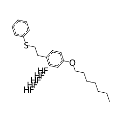 CCCCCCCOc1ccc(CCSc2ccccc2)cc1.F.F.F.F.F